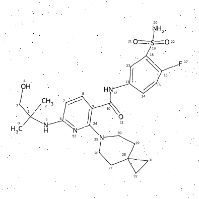 CC(C)(CO)Nc1ccc(C(=O)Nc2ccc(F)c(S(N)(=O)=O)c2)c(N2CCC3(CC2)CC3)n1